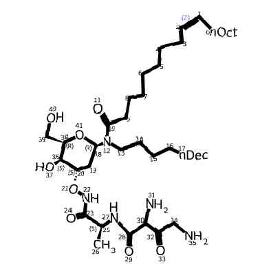 CCCCCCCC/C=C\CCCCCCCC(=O)N(CCCCCCCCCCCCCC)[C@H]1C[C@H](ONC(=O)[C@H](C)NC(=O)C(N)C(=O)CN)[C@@H](O)[C@@H](CO)O1